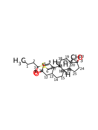 CCCC(=O)SC[C@]12C=CC(=O)CC1CC[C@@H]1[C@H]2CC[C@]2(C)C(=O)CC[C@@H]12